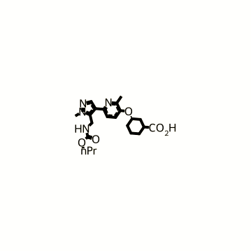 CCCOC(=O)NCc1c(-c2ccc(O[C@H]3CCCC(C(=O)O)C3)c(C)n2)cnn1C